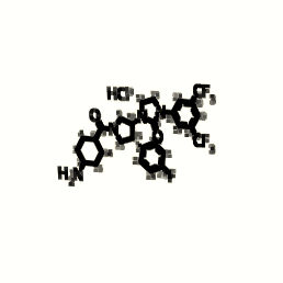 Cl.NC1CCC(C(=O)N2C[C@@H](N3CCN(c4cc(C(F)(F)F)cc(C(F)(F)F)c4)C3=O)[C@H](c3ccc(F)cc3)C2)CC1